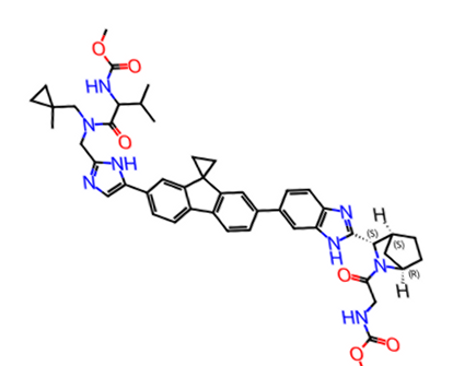 COC(=O)NCC(=O)N1[C@@H]2CC[C@@H](C2)[C@H]1c1nc2ccc(-c3ccc4c(c3)C3(CC3)c3cc(-c5cnc(CN(CC6(C)CC6)C(=O)C(NC(=O)OC)C(C)C)[nH]5)ccc3-4)cc2[nH]1